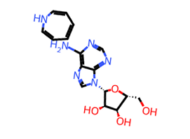 C1=CC=CNC=C1.Nc1ncnc2c1ncn2[C@@H]1O[C@H](CO)[C@@H](O)[C@H]1O